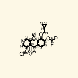 OC[C@H](c1ccc(OC(F)F)c(OCC2CC2)c1)c1c(OCl)cncc1OCl